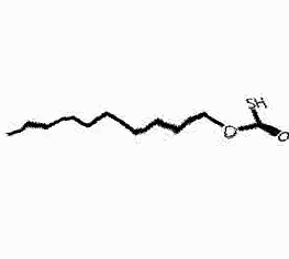 CCCCCCCCCCOC(=O)S